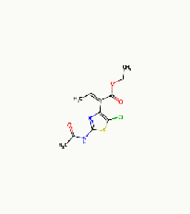 C/C=C(/C(=O)OCC)c1nc(NC(C)=O)sc1Cl